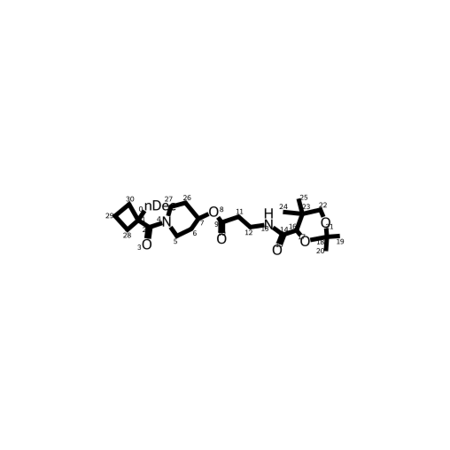 CCCCCCCCCCC1(C(=O)N2CCC(OC(=O)CCNC(=O)C3OC(C)(C)OCC3(C)C)CC2)CCC1